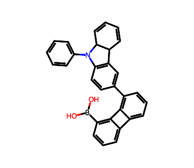 OB(O)c1cccc2c1-c1c(-c3ccc4c(c3)C3C=CC=CC3N4c3ccccc3)cccc1-2